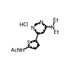 CCN(CC)c1cc(-c2ccc(NC(C)=O)s2)ncn1.Cl